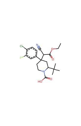 CCOC(=O)C(C#N)C1(c2ccc(Cl)c(F)c2)CCN(C(=O)O)C(C(C)(C)C)C1